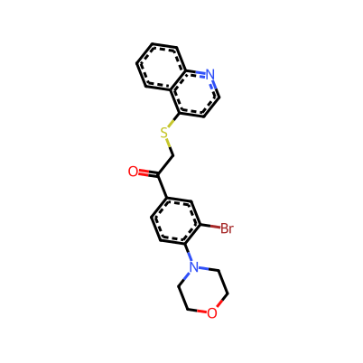 O=C(CSc1ccnc2ccccc12)c1ccc(N2CCOCC2)c(Br)c1